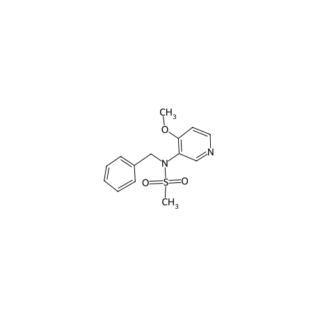 COc1ccncc1N(Cc1ccccc1)S(C)(=O)=O